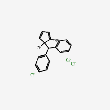 CCCCC1=CC=C[C]1([Ti+3])C(c1ccccc1)c1ccccc1.[Cl-].[Cl-].[Cl-]